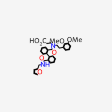 COc1cccc(CCN(CCC(=O)O)C(=O)c2ccccc2-c2ccccc2C(=O)NCc2ccco2)c1OC